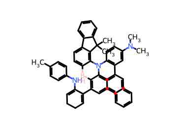 Cc1ccc(NC2=CCCC=C2c2cc(-c3ccccc3)cc3c2Bc2ccc4c(c2N3c2ccc(N(C)C)cc2-c2ccccc2)C(C)(C)c2ccccc2-4)cc1